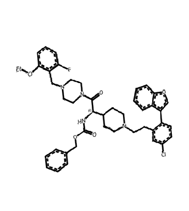 CCOc1cccc(F)c1CN1CCN(C(=O)[C@H](NC(=O)OCc2ccccc2)C2CCN(CCc3cc(Cl)ccc3-c3coc4ccccc34)CC2)CC1